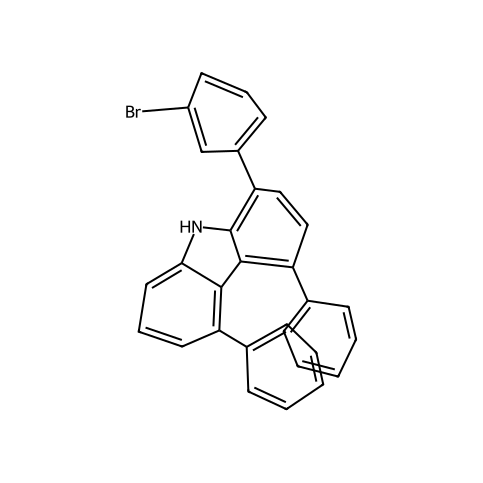 Brc1cccc(-c2ccc(-c3ccccc3)c3c2[nH]c2cccc(-c4ccccc4)c23)c1